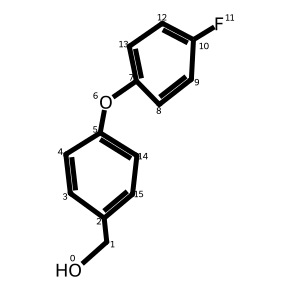 OCc1ccc(Oc2ccc(F)cc2)cc1